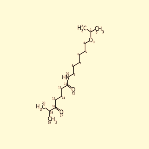 CC(C)OCCCCCCNC(=O)CCCC(=O)C(C)C